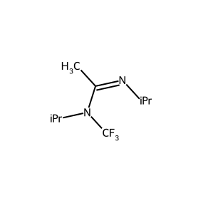 C/C(=N/C(C)C)N(C(C)C)C(F)(F)F